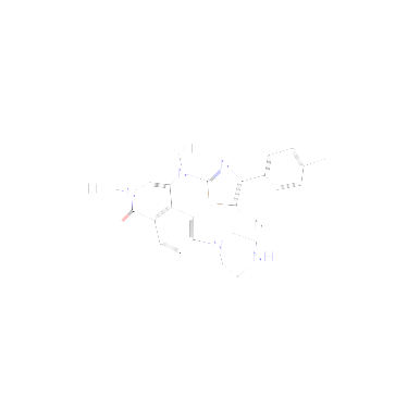 CN(c1nc(-c2ccc(F)cc2)c(C#N)s1)c1cn(C)c(=O)c2ccc(N3CCNCC3)cc12